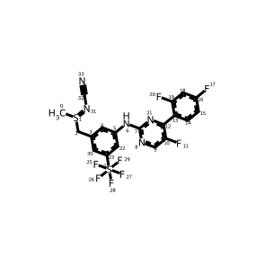 CS(Cc1cc(Nc2ncc(F)c(-c3ccc(F)cc3F)n2)cc(S(F)(F)(F)(F)F)c1)=NC#N